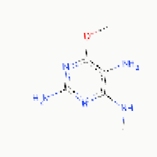 CNc1nc(N)nc(OC)c1N